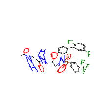 CC(=O)NCC(=O)NC[C@H]1CN(S(=O)(=O)c2cccc(C(F)(F)F)c2)c2cc(-c3cc(F)ccc3F)ccc2O1